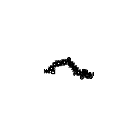 N#Cc1ccc(N2CCC3(CCN(c4ccc(C(=O)N5CCN(C6CCN(c7cc8c(cc7F)C(=O)N(C7CCC(=O)NC7=O)C8=O)CC6)CC5)cc4)CC3)C2)cc1Cl